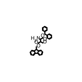 NC(C(=O)OC(c1ccccc1)c1ccccc1)C(C=O)C(=O)OCC1c2ccccc2-c2ccccc21